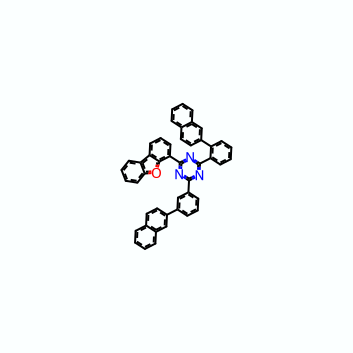 c1cc(-c2ccc3ccccc3c2)cc(-c2nc(-c3ccccc3-c3ccc4ccccc4c3)nc(-c3cccc4c3oc3ccccc34)n2)c1